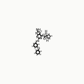 Nc1nc2nc(SCc3cccc(Oc4ccccc4)c3)nc(OC(=O)[C@]3(O)CCCN3)c2s1